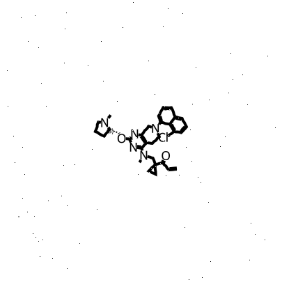 C=CC(=O)C1(CN(C)c2nc(OC[C@@H]3CCCN3C)nc3c2CCN(c2cccc4cccc(Cl)c24)C3)CC1